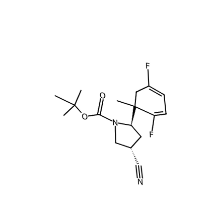 CC(C)(C)OC(=O)N1C[C@@H](C#N)C[C@@H]1C1(C)CC(F)=CC=C1F